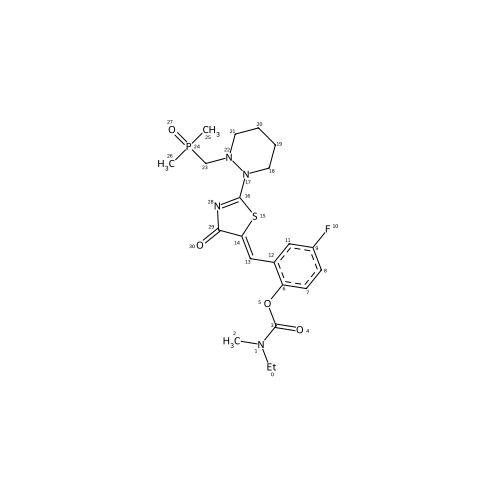 CCN(C)C(=O)Oc1ccc(F)cc1/C=C1\SC(N2CCCCN2CP(C)(C)=O)=NC1=O